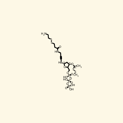 CSS[C@H](C)O[C@@H]1C[C@H](BC#CCNC(=O)CCSSCCN)OC1COP(=O)(O)OP(=O)(O)OP(=O)(O)O